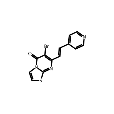 O=c1c(Br)c(/C=C/c2ccncc2)nc2sccn12